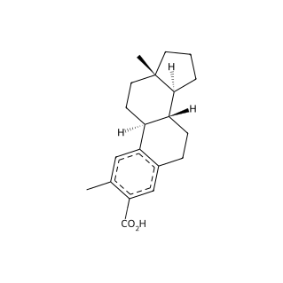 Cc1cc2c(cc1C(=O)O)CC[C@@H]1[C@@H]2CC[C@]2(C)CCC[C@@H]12